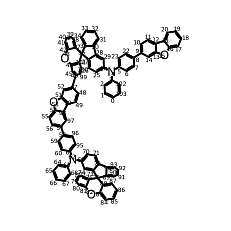 c1ccc(N(c2ccc(-c3ccc4c(c3)oc3ccccc34)cc2)c2ccc3c(c2)-c2ccccc2C32c3ccccc3Oc3cc(-c4ccc5c(c4)oc4ccc(-c6ccc(N(c7ccccc7)c7ccc8c(c7)C7(c9ccccc9Oc9ccccc97)c7ccccc7-8)cc6)cc45)ccc32)cc1